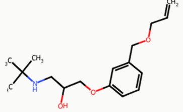 C=CCOCc1cccc(OCC(O)CNC(C)(C)C)c1